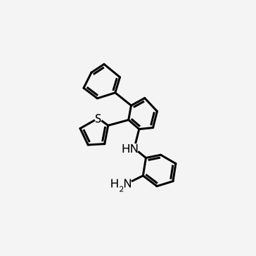 Nc1ccccc1Nc1cccc(-c2ccccc2)c1-c1cccs1